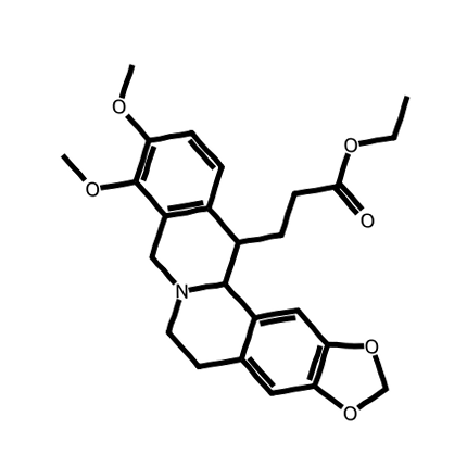 CCOC(=O)CCC1c2ccc(OC)c(OC)c2CN2CCc3cc4c(cc3C12)OCO4